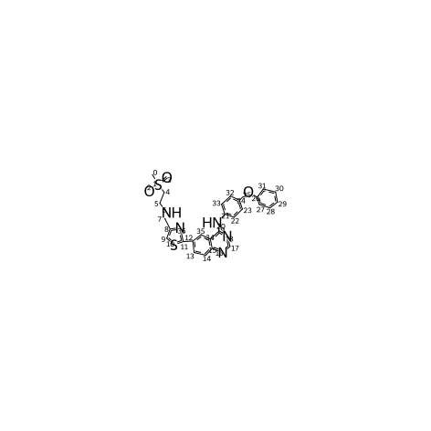 CS(=O)(=O)CCNCc1csc(-c2ccc3ncnc(Nc4ccc(Oc5ccccc5)cc4)c3c2)n1